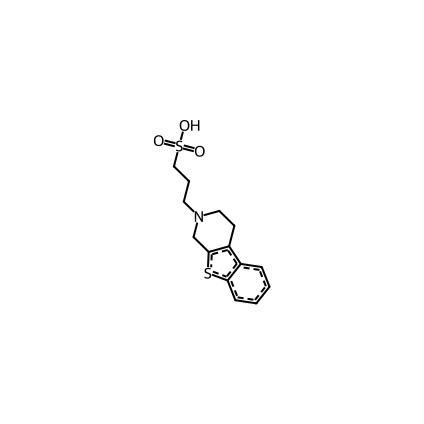 O=S(=O)(O)CCCN1CCc2c(sc3ccccc23)C1